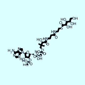 CC(C)(COP(=O)(O)OP(=O)(O)OC[C@H]1O[C@@H](n2cnc3c(N)ncnc32)[C@H](O)[C@@H]1OP(=O)(O)O)[C@@H](O)C(=O)NCCC(=O)NCCSC(=O)C(O)C(O)C(O)CO